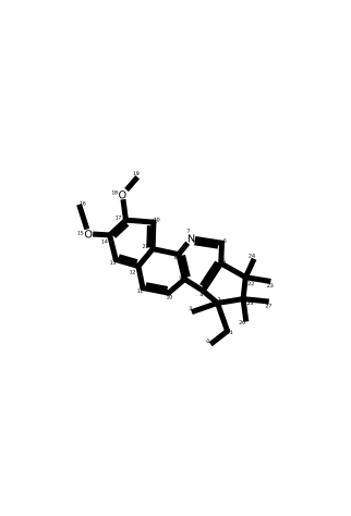 CCC1(C)c2c(cnc3c2ccc2cc(OC)c(OC)cc23)C(C)(C)C1(C)C